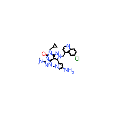 CN(C)c1nnc2c3c(-c4cc(N)cn4C)n(Cc4ccnc5ccc(Cl)cc45)nc3n(CC3CC3)c(=O)n12